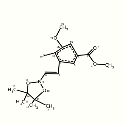 COC(=O)c1cc(C=CB2OC(C)(C)C(C)(C)O2)c(F)c(OC)c1